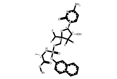 CC(C)OC(=O)[C@H](C)NP(=O)(OC[C@@]1(C(F)F)O[C@@H](n2ccc(N)nc2=O)[C@H](O)C1(F)F)Oc1ccc2ccccc2c1